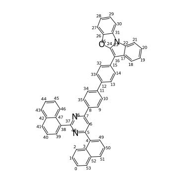 c1ccc2c(-c3cc(-c4ccc(-c5ccc(-c6c7ccccc7n7c6oc6ccccc67)cc5)cc4)nc(-c4cccc5ccccc45)n3)cccc2c1